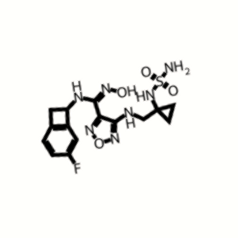 NS(=O)(=O)NC1(CNc2nonc2/C(=N\O)NC2Cc3ccc(F)cc32)CC1